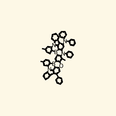 Cc1ccc2c(c1)-n1c3ccccc3c3c(-c4ccccc4)cc4c(c31)B2c1cc2c(c(C)c1O4)N(c1ccccc1)c1cc(N(c3ccccc3)c3ccccc3)c3c4ccccc4n4c3c1B2c1ccc(C)cc1-4